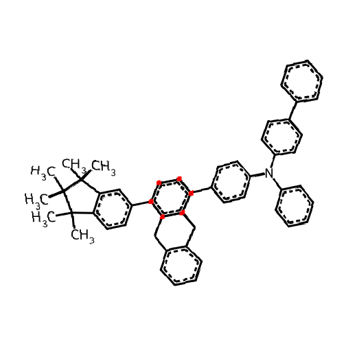 CC1(C)c2ccc(-c3ccc(-c4ccc(N(c5ccccc5)c5ccc(-c6ccccc6)cc5)cc4)c4c3C3c5ccccc5C4c4ccccc43)cc2C(C)(C)C1(C)C